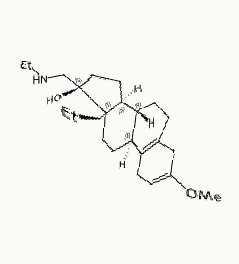 CCNC[C@]1(O)CC[C@H]2[C@@H]3CCC4=C(CC=C(OC)C4)[C@H]3CC[C@@]21CC